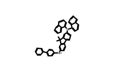 CC1(C)c2cc(Nc3ccc(-c4ccccc4)cc3)ccc2-c2ccc(N(c3cccc4ccccc34)c3cccc4ccccc34)cc21